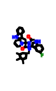 CC(=O)NC(Cc1c[nH]c2ccccc12)(C(=O)N(Cc1cc(C)c(C)c(C)c1)c1c[nH]c2ccc(F)cc12)N1CC=CCC1